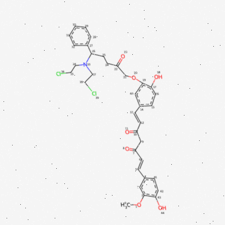 COc1cc(C=CC(=O)CC(=O)C=Cc2ccc(O)c(OCC(=O)CCC(c3ccccc3)N(CCCl)CCCl)c2)ccc1O